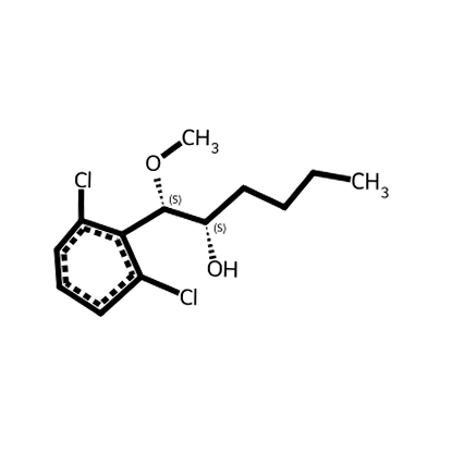 CCCC[C@H](O)[C@@H](OC)c1c(Cl)cccc1Cl